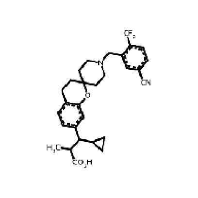 CC(C(=O)O)C(c1ccc2c(c1)OC1(CC2)CCN(Cc2cc(C#N)ccc2C(F)(F)F)CC1)C1CC1